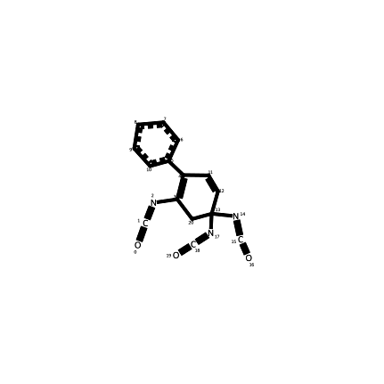 O=C=NC1=C(c2ccccc2)C=CC(N=C=O)(N=C=O)C1